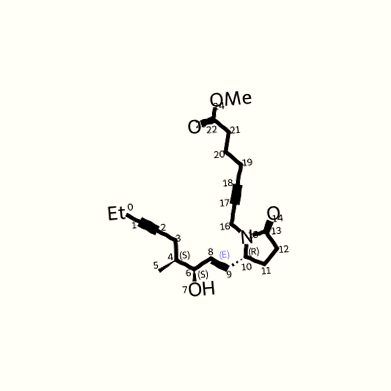 CCC#CC[C@H](C)[C@H](O)/C=C/[C@H]1CCC(=O)N1CC#CCCCC(=O)OC